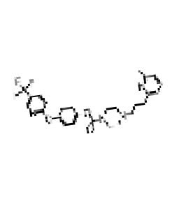 Cc1cccc(CCCN2CCN(C(=O)Oc3ccc(Oc4ccc(C(F)(F)F)cn4)cc3)CC2)n1